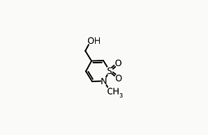 CN1C=CC(CO)=CS1(=O)=O